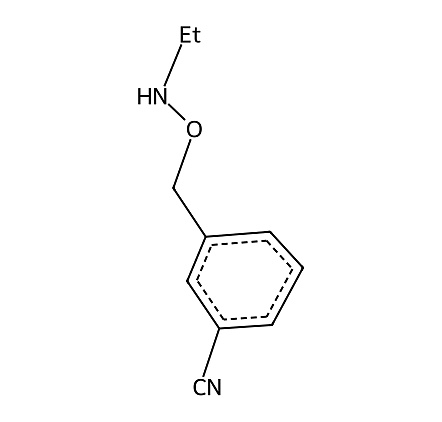 CCNOCc1cccc(C#N)c1